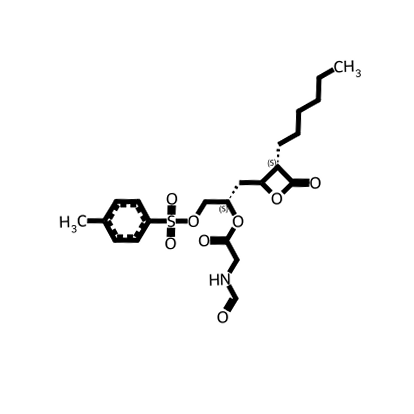 CCCCCC[C@@H]1C(=O)OC1C[C@@H](COS(=O)(=O)c1ccc(C)cc1)OC(=O)CNC=O